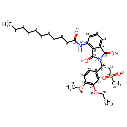 CCCCCCCCCCC(=O)Nc1cccc2c1C(=O)N([C@H](CS(C)(=O)=O)c1ccc(OC)c(OCC)c1)C2=O